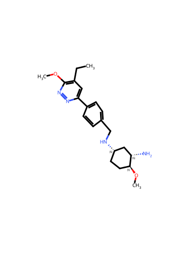 CCc1cc(-c2ccc(CN[C@H]3CC[C@H](OC)[C@@H](N)C3)cc2)nnc1OC